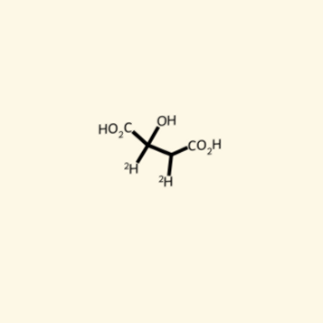 [2H]C(C(=O)O)C([2H])(O)C(=O)O